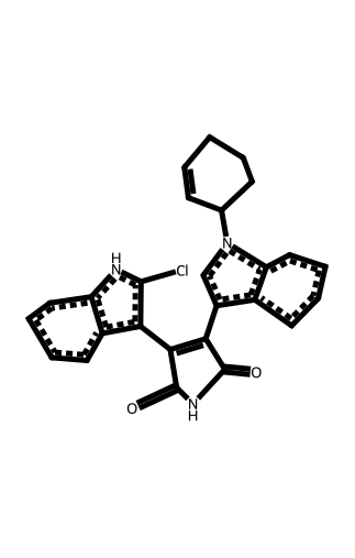 O=C1NC(=O)C(c2cn(C3C=CCCC3)c3ccccc23)=C1c1c(Cl)[nH]c2ccccc12